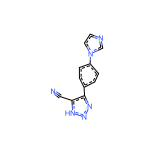 N#Cc1[nH]nnc1-c1ccc(-n2ccnc2)cc1